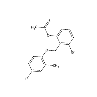 CCc1ccc(OCc2c(Br)cccc2OC(C)=S)c(C)c1